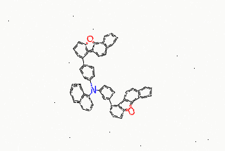 c1cc(-c2cccc3oc4c5ccccc5ccc4c23)cc(N(c2ccc(-c3cccc4oc5c6ccccc6ccc5c34)cc2)c2cccc3ccccc23)c1